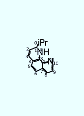 CC(C)C1C=Cc2ccc3cccnc3c2N1